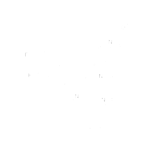 Fc1ccc(-c2ccc3c4c5c(nc3c2)c2ccccc2n5CCCN4CCCN2CCOCC2)cc1F